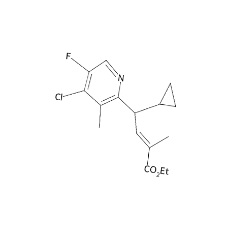 CCOC(=O)C(C)=CC(c1ncc(F)c(Cl)c1C)C1CC1